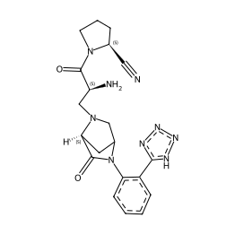 N#C[C@@H]1CCCN1C(=O)[C@@H](N)CN1CC2C[C@H]1C(=O)N2c1ccccc1-c1nnn[nH]1